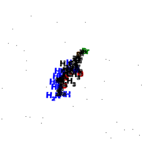 Cc1c(NC(=O)c2[nH]cc(NC(=O)c3c(C)c(-c4ccc(SCCBr)cc4)cn3NC=O)c2C)c[nH]c1C(=O)NCCC(=N)N